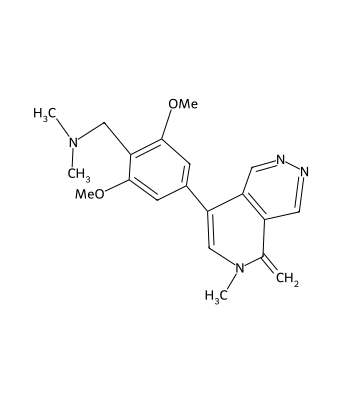 C=C1c2cnncc2C(c2cc(OC)c(CN(C)C)c(OC)c2)=CN1C